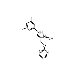 Cc1cc(C)cc(N/C=C(/COc2ncccn2)N=N)c1